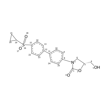 O=C1O[C@@H](CO)CN1c1ccc(-c2ccc(S(=O)(=O)C3CC3)cc2)cc1